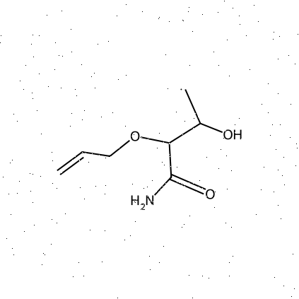 [CH2]C(O)C(OCC=C)C(N)=O